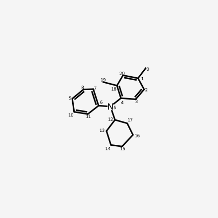 Cc1ccc(N(c2ccccc2)C2CCCCC2)c(C)c1